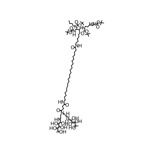 CCCCN(C(=O)OC(C)(C)C)C(NC(=O)OC(C)(C)C)C(CCCCCCNC(=O)CCCCCCCCCCCCCCCCCCCCCCCNC(=O)CCC(=O)N(CCNC(=O)[C@H](O)[C@@H](O)[C@H](O)[C@@H](C)O)CCNC(=O)[C@H](O)[C@@H](O)[C@H](O)[C@@H](C)O)CN(CCCCNC(=O)OC(C)(C)C)C(=O)OC(C)(C)C